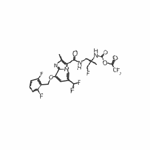 Cc1nc2c(OCc3c(F)cccc3F)cc(C(F)F)cn2c1C(=O)NCC(C)(CF)NC(=O)OC(=O)C(F)(F)F